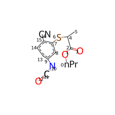 CCCOC(=O)C(C)Sc1cc(N=C=O)ccc1C#N